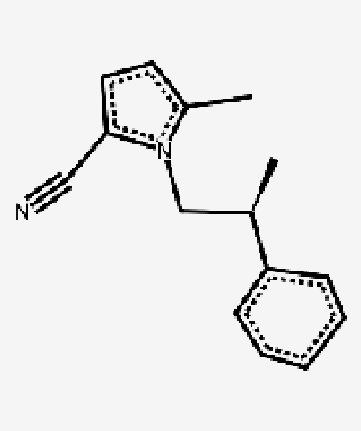 Cc1ccc(C#N)n1C[C@@H](C)c1ccccc1